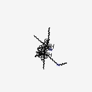 C=CCOC(=O)OC1C(COC2OC(COC)[C@@H](OP(=O)(OCC=C)OCC=C)C(OCCC(CCCCCCC)OC)[C@H]2NC(=O)CCCCCCCCC/C=C\CCCCCC)O[C@H](O/C=C\C)[C@H](NC(=O)CC(=O)CCCCCCCCCCC)C1OCCCCCCCCCC